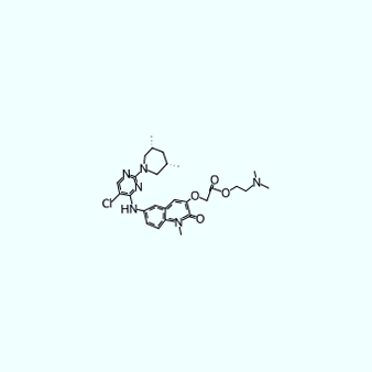 C[C@@H]1C[C@H](C)CN(c2ncc(Cl)c(Nc3ccc4c(c3)cc(OCC(=O)OCCN(C)C)c(=O)n4C)n2)C1